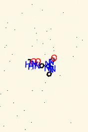 C=CCONC(=O)Nc1ccc(-c2nc(N3CCOCC3)c3cnn(-c4ccccc4)c3n2)cc1